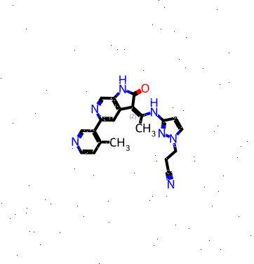 C/C(Nc1ccn(CCC#N)n1)=C1/C(=O)Nc2cnc(-c3cnccc3C)cc21